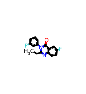 CCc1nc2ccc(F)cc2c(=O)n1-c1cccc(F)c1